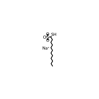 CCCCCCCCCCCC(S)S(=O)(=O)[O-].[Na+]